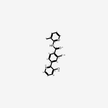 Cc1cccnc1NC(=O)c1ccc(-c2ncccc2Cl)cc1F